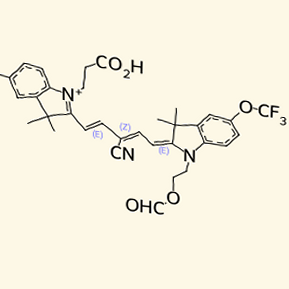 Cc1ccc2c(c1)C(C)(C)C(/C=C/C(C#N)=C/C=C1/N(CCOC=O)c3ccc(OC(F)(F)F)cc3C1(C)C)=[N+]2CCC(=O)O